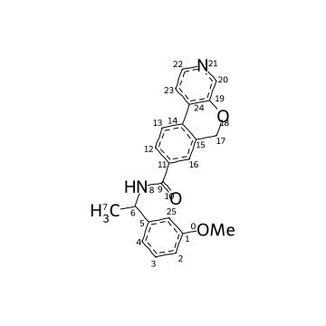 COc1cccc(C(C)NC(=O)c2ccc3c(c2)COc2cnccc2-3)c1